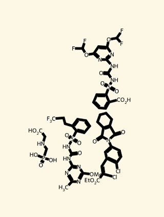 CCOC(=O)/C(Cl)=C/c1cc(N2C(=O)C3=C(CCCC3)C2=O)ccc1Cl.COc1nc(C)nc(NC(=O)NS(=O)(=O)c2ccccc2CCC(F)(F)F)n1.O=C(Nc1nc(OC(F)F)cc(OC(F)F)n1)NS(=O)(=O)c1ccccc1C(=O)O.O=C(O)CNCP(=O)(O)O